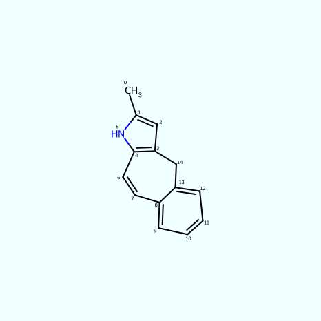 Cc1cc2c([nH]1)C=Cc1ccccc1C2